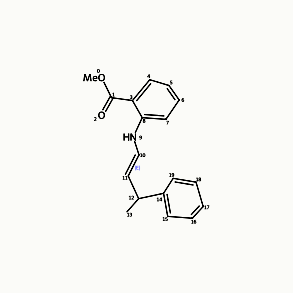 COC(=O)c1ccccc1N/C=C/C(C)c1ccccc1